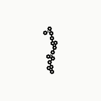 c1ccc(-n2c3ccccc3c3ccc(-c4ccc(-c5ccc6c7c(cccc57)-c5ccc(-c7ccc(-n8c9ccccc9c9c(-c%10cccc(-c%11ccc%12c%13c(cccc%11%13)-c%11ccccc%11-%12)c%10)cccc98)cc7)cc5-6)cc4)cc32)cc1